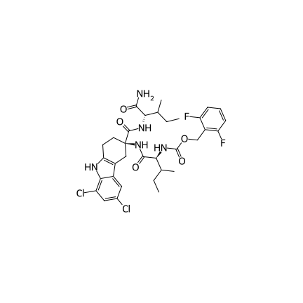 CCC(C)[C@H](NC(=O)[C@@]1(NC(=O)[C@@H](NC(=O)OCc2c(F)cccc2F)C(C)CC)CCc2[nH]c3c(Cl)cc(Cl)cc3c2C1)C(N)=O